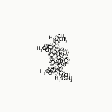 CC(C)(C)c1ccc(N(c2ccc(C(C)(C)C)cc2)c2cc3c4c(c2)N(c2ccccc2)c2cc5c(cc2B4c2ccccc2O3)B2c3ccccc3Oc3cc(N(c4ccc(C(C)(C)C)cc4)c4ccc(C(C)(C)C)cc4)cc(c32)N5c2ccccc2)cc1